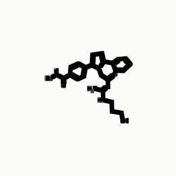 CCC(C)NC(=O)c1ccc(-c2ccc(-c3ccccc3)n2CC(=O)/N=C(\N)NCCCO)cc1